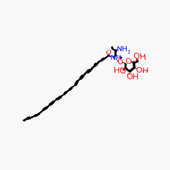 CC#CC#CC#CC#CC#CC#CC#CC#CC#CC#CC#CC#CC(=O)N[C@@H](CO[C@H]1OC(CO)[C@H](O)[C@H](O)C1O)[C@H](N)CC